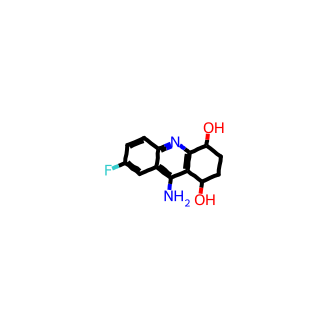 Nc1c2c(nc3ccc(F)cc13)C(O)CCC2O